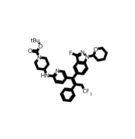 CC(C)(C)OC(=O)N1CCC(Nc2ccc(/C(=C(/CC(F)(F)F)c3ccccc3)c3ccc4c(c3)c(F)nn4C3CCCCO3)cn2)CC1